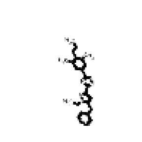 C=CCc1c(C)cc(-c2noc(-c3cc(Cc4ccccc4)n(CC)n3)n2)cc1C